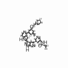 O=C(Nc1cncc(-c2cc3c(-c4cc5c(-c6cc(F)cc(OCCN7CCCC7)c6)nccc5[nH]4)n[nH]c3cn2)c1)C1CC1